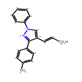 Cc1ccc(-c2nn(-c3ccccc3)cc2/C=C/C(=O)O)cc1